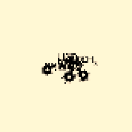 CC[C@H]1OC(O)(c2cnc(OCc3ccccc3)cn2)[C@@H](OCc2ccccc2)C1OCc1ccccc1